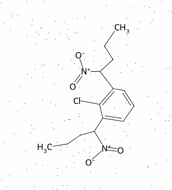 CCCC(c1cccc(C(CCC)[N+](=O)[O-])c1Cl)[N+](=O)[O-]